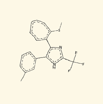 CSc1ccccc1-c1nc(C(F)(F)F)[nH]c1-c1cccc(C)c1